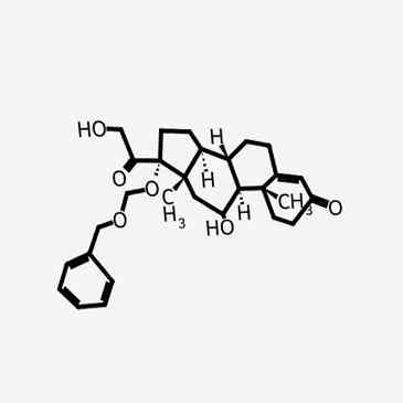 C[C@]12CCC(=O)C=C1CC[C@@H]1[C@@H]2C(O)C[C@@]2(C)[C@H]1CC[C@]2(OCOCc1ccccc1)C(=O)CO